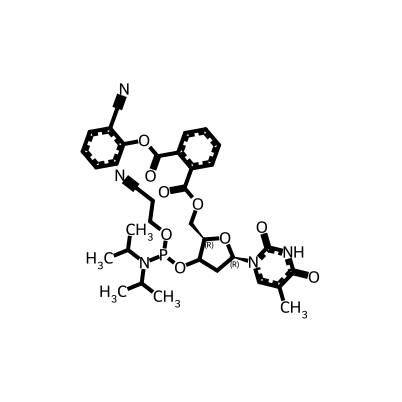 Cc1cn([C@H]2CC(OP(OCCC#N)N(C(C)C)C(C)C)[C@@H](COC(=O)c3ccccc3C(=O)Oc3ccccc3C#N)O2)c(=O)[nH]c1=O